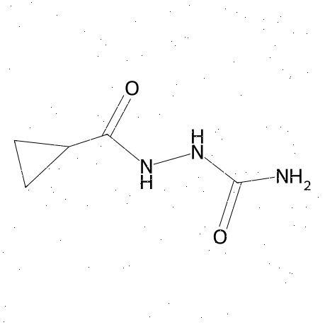 NC(=O)NNC(=O)C1CC1